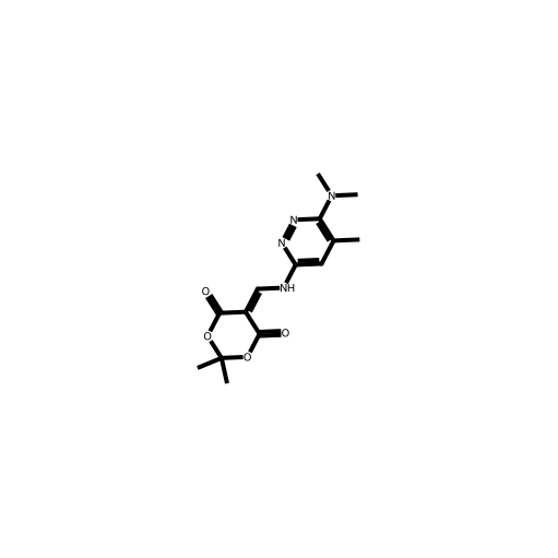 Cc1cc(NC=C2C(=O)OC(C)(C)OC2=O)nnc1N(C)C